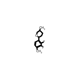 Cc1ccc(C2CCC(C)CO2)c(F)c1F